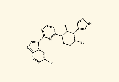 CCN1CCN(c2ccnc(-c3cnc4cnc(Br)cn34)n2)[C@@H](C)[C@H]1c1cn[nH]c1